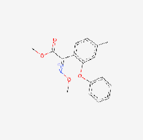 CO/N=C(/C(=O)OC)c1ccc(C)cc1Oc1ccccc1